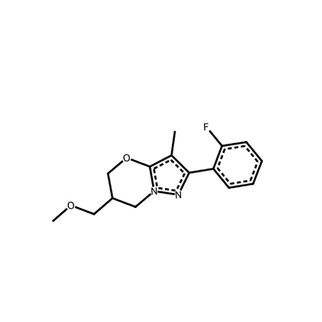 COCC1COc2c(C)c(-c3ccccc3F)nn2C1